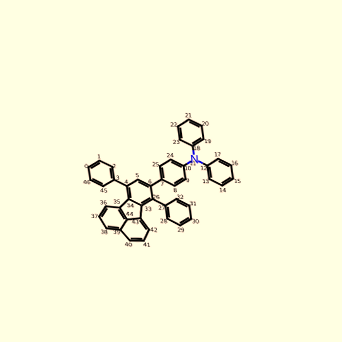 c1ccc(-c2cc(-c3ccc(N(c4ccccc4)c4ccccc4)cc3)c(-c3ccccc3)c3c2-c2cccc4cccc-3c24)cc1